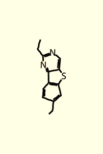 CCc1ccc2c(c1)sc1cnc(CC)nc12